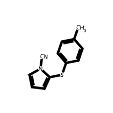 Cc1ccc(Sc2cc[c]n2C#N)cc1